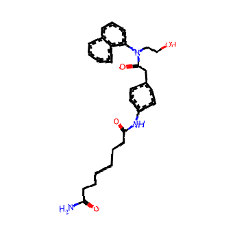 NC(=O)CCCCCCC(=O)Nc1ccc(CC(=O)N(CCO)c2cccc3ccccc23)cc1